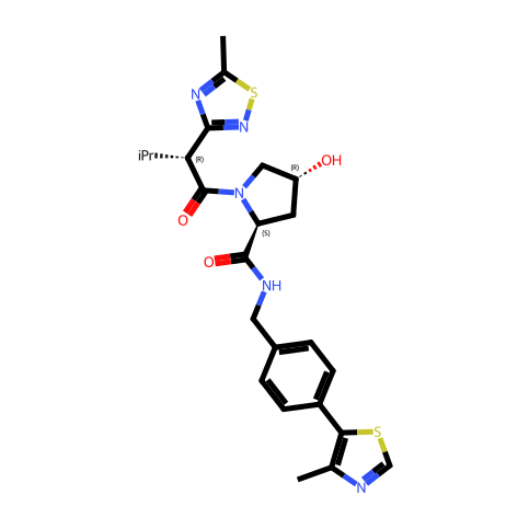 Cc1nc([C@H](C(=O)N2C[C@H](O)C[C@H]2C(=O)NCc2ccc(-c3scnc3C)cc2)C(C)C)ns1